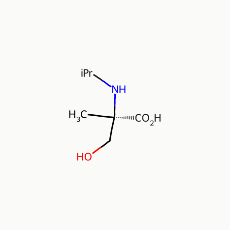 CC(C)N[C@](C)(CO)C(=O)O